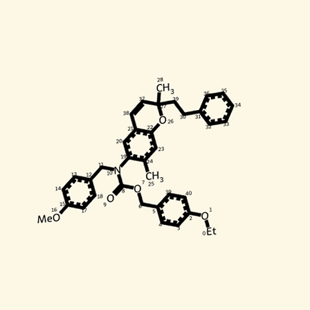 CCOc1ccc(COC(=O)N(Cc2ccc(OC)cc2)c2cc3c(cc2C)OC(C)(CCc2ccccc2)C=C3)cc1